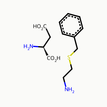 NCCSCc1ccccc1.N[C@@H](CC(=O)O)C(=O)O